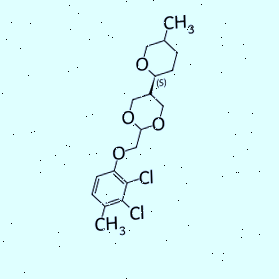 Cc1ccc(OCC2OCC([C@@H]3CCC(C)CO3)CO2)c(Cl)c1Cl